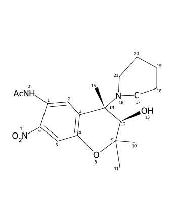 CC(=O)Nc1cc2c(cc1[N+](=O)[O-])OC(C)(C)[C@H](O)[C@@]2(C)N1CCCCC1